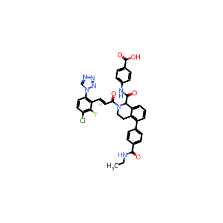 CCNC(=O)c1ccc(-c2cccc3c2CCN(C(=O)/C=C/c2c(-n4cnnn4)ccc(Cl)c2F)C3C(=O)Nc2ccc(C(=O)O)cc2)cc1